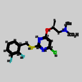 C[C@H](CN(C(=O)O)C(C)(C)C)Oc1cc(Cl)nc(SCc2cccc(F)c2F)n1